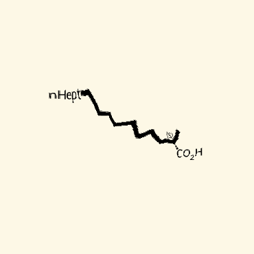 CCCCCCCCCCCCCCC[C@H](C)C(=O)O